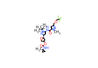 Cn1nc(COCC(F)(F)F)cc1C(=O)Nc1cc([C@H]2C[C@@H](OC(=O)NC3(C)CC3)CO2)nn1C(C)(C)C